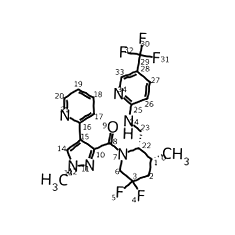 C[C@@H]1CC(F)(F)CN(C(=O)c2nn(C)cc2-c2ccccn2)[C@@H]1CNc1ccc(C(F)(F)F)cn1